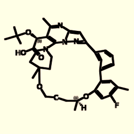 Cc1cc2c(cc1F)O[C@@H](C)CCCOC1(C)CCN(CC1)c1c([C@H](OC(C)(C)C)C(=O)O)c(C)nc3cc(nn13)-c1cccc-2c1